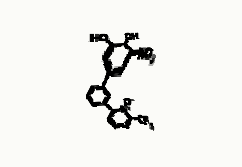 O=[N+]([O-])c1cc(-c2cccc(-c3cccc(C(F)(F)F)[n+]3[O-])c2)cc(O)c1O